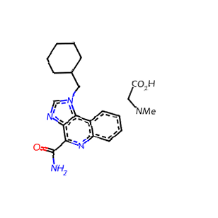 CNCC(=O)O.NC(=O)c1nc2ccccc2c2c1ncn2CC1CCCCC1